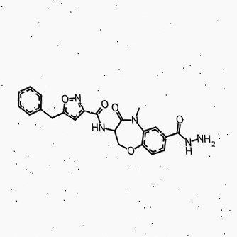 CN1C(=O)C(NC(=O)c2cc(Cc3ccccc3)on2)COc2ccc(C(=O)NN)cc21